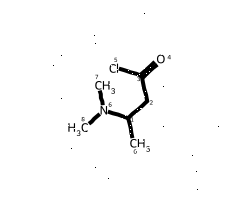 CC(CC(=O)Cl)N(C)C